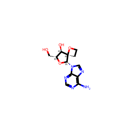 Nc1ncnc2c1ncn2[C@@H]1O[C@H](CO)[C@@H](O)[C@]12CCO2